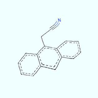 N#CCc1c2ccccc2cc2ccccc12